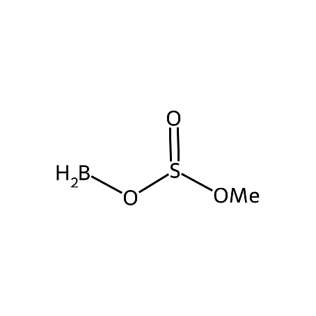 BOS(=O)OC